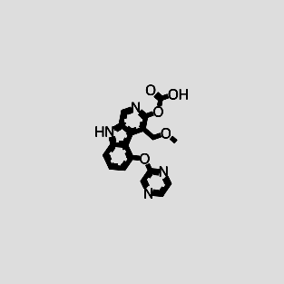 COCc1c(OC(=O)O)ncc2[nH]c3cccc(Oc4cnccn4)c3c12